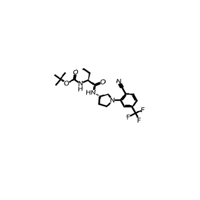 CC[C@H](NC(=O)OC(C)(C)C)C(=O)N[C@H]1CCN(c2cc(C(F)(F)F)ccc2C#N)C1